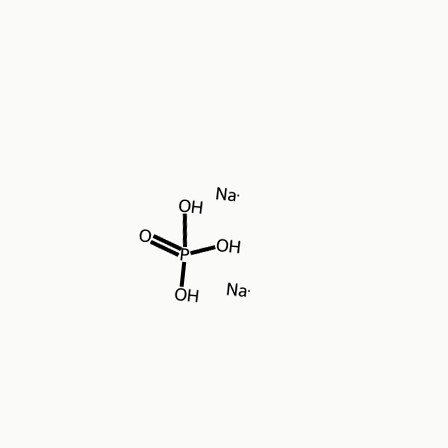 O=P(O)(O)O.[Na].[Na]